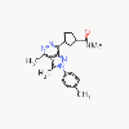 CNC(=O)C1CCC(c2nnc(C)c3c(C)n(-c4ccc(C)cc4)nc23)C1